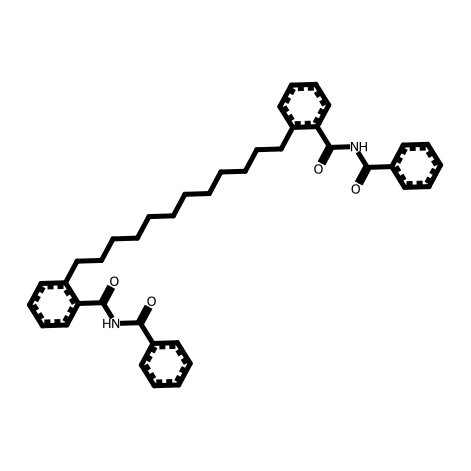 O=C(NC(=O)c1ccccc1CCCCCCCCCCCCc1ccccc1C(=O)NC(=O)c1ccccc1)c1ccccc1